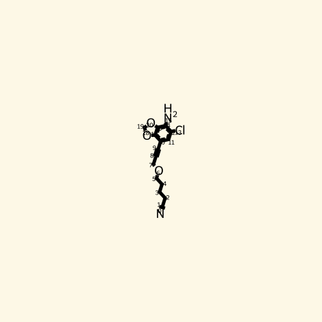 N#CCCCCOCC#Cc1cc(Cl)c(N)c2c1OCO2